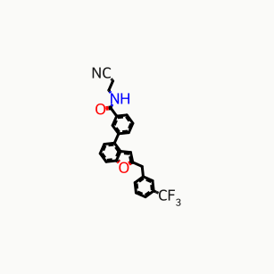 N#CCCNC(=O)c1cccc(-c2cccc3oc(Cc4cccc(C(F)(F)F)c4)cc23)c1